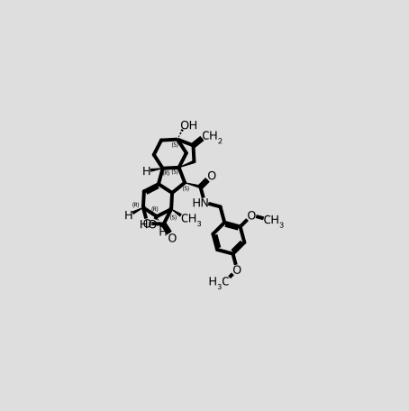 C=C1C[C@]23C[C@@]1(O)CC[C@H]2C1=C[C@H]2OC(=O)[C@@](C)(C1[C@@H]3C(=O)NCc1ccc(OC)cc1OC)[C@H]2O